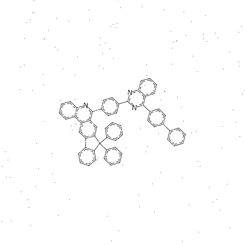 c1ccc(-c2ccc(-c3nc(-c4ccc(-c5nc6ccccc6c6cc7c(cc56)C(c5ccccc5)(c5ccccc5)c5ccccc5-7)cc4)nc4ccccc34)cc2)cc1